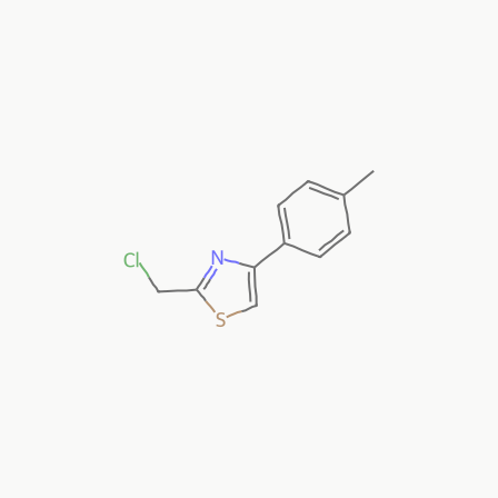 Cc1ccc(-c2csc(CCl)n2)cc1